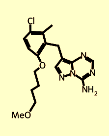 COCCCCOc1ccc(Cl)c(C)c1Cc1cnn2c(N)ncnc12